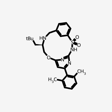 Cc1cccc(C)c1-c1cc2nc(n1)NS(=O)(=O)c1cccc(c1)CN[C@H](CC(C)(C)C)CO2